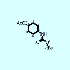 CC(=O)O[C@H]1CC[C@@H](NC(=O)OC(C)(C)C)CC1